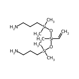 C=C[Si](C)(O[Si](C)(C)CCCN)O[Si](C)(C)CCCN